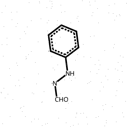 O=C[N]Nc1[c]cccc1